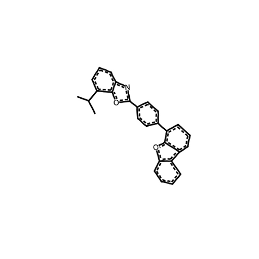 CC(C)c1cccc2nc(-c3ccc(-c4cccc5c4oc4ccccc45)cc3)oc12